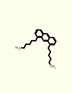 CCCCCCc1cccc2cc3cccc(CCCCCC)c3cc12